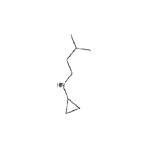 CC(C)CCNC1CC1